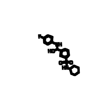 O=S(=O)(NC1CCCCC1)c1cccc(C(O)Nc2ccc(F)cc2)c1